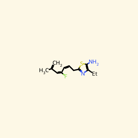 C=C(C)/C=C(F)\C=C/Cc1nc(CC)c(N)s1